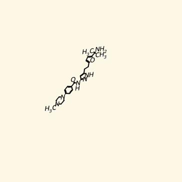 CN1CCN(c2ccc(C(=O)Nc3cc(CCc4ccc(C(C)(C)N)o4)[nH]n3)cc2)CC1